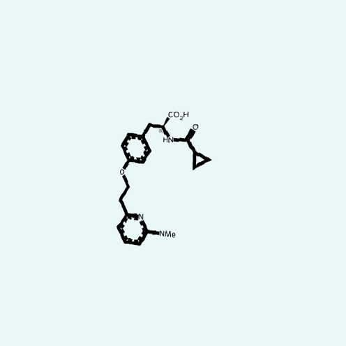 CNc1cccc(CCOc2ccc(C[C@H](NC(=O)C3CC3)C(=O)O)cc2)n1